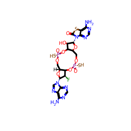 Nc1ncnc2c1ncn2[C@@H]1O[C@@H]2CO[P@](=O)(S)OC3C(CO[P@](=O)(S)OC2[C@H]1F)O[C@@H](n1c(=O)sc2c(N)ncnc21)C3O